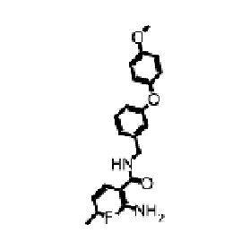 COc1ccc(Oc2cccc(CNC(=O)C(/C=C\C(C)F)=C(/C)N)c2)cc1